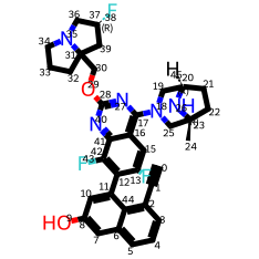 C#Cc1cccc2cc(O)cc(-c3c(F)cc4c(N5C[C@H]6CC[C@](C)(C5)N6)nc(OCC56CCCN5C[C@H](F)C6)nc4c3F)c12